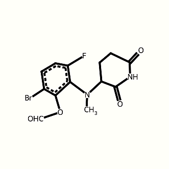 CN(c1c(F)ccc(Br)c1OC=O)C1CCC(=O)NC1=O